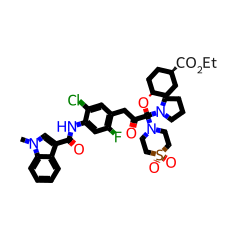 CCOC(=O)[C@H]1CC[C@H](OC(C(=O)Cc2cc(Cl)c(NC(=O)c3cn(C)c4ccccc34)cc2F)(N2CCCC2)N2CCS(=O)(=O)CC2)CC1